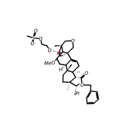 CO[C@@H]1C[C@@]23COC[C@](C)([C@@H]2CC[C@H]2C3=CC[C@@]3(C)[C@H](C(=O)OCc4ccccc4)[C@@](C)([C@H](C)C(C)C)CC[C@]23C)[C@H]1OCCOS(C)(=O)=O